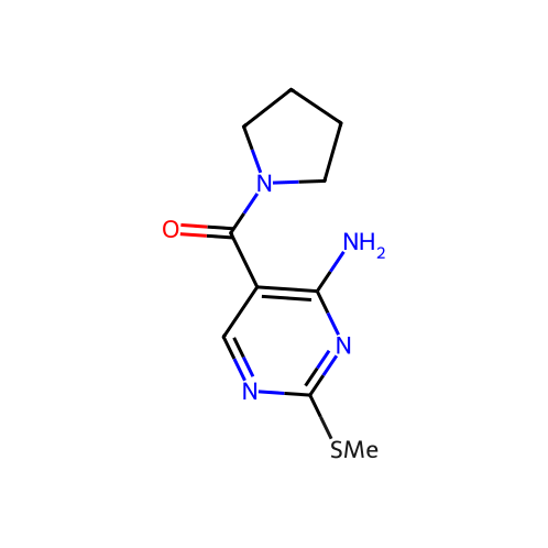 CSc1ncc(C(=O)N2CCCC2)c(N)n1